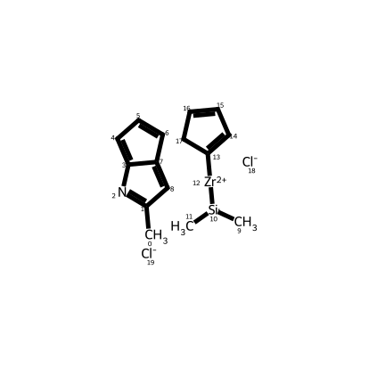 CC1=NC2=CC=CC2=C1.C[Si](C)[Zr+2][C]1=CC=CC1.[Cl-].[Cl-]